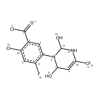 O=C(Cl)c1cc(N2C(O)C=C(C(F)(F)F)NC2O)c(F)cc1Cl